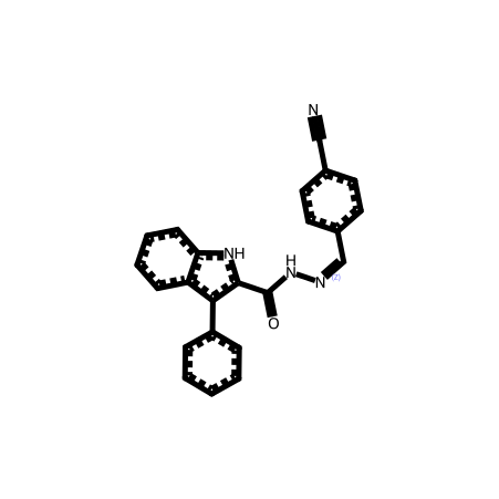 N#Cc1ccc(/C=N\NC(=O)c2[nH]c3ccccc3c2-c2ccccc2)cc1